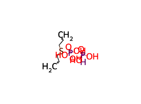 C=CCSCC=C.O=P(O)(O)O.O=[PH](O)O